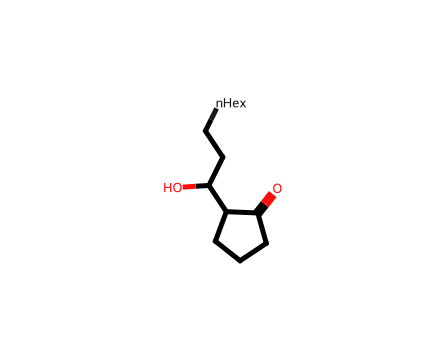 CCCCCCCCC(O)C1CCCC1=O